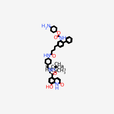 CC(C)(C)[Si](C)(C)O[C@H](CNCC1CCC(NC(=O)CCCc2ccc(-c3ccccc3)c(NC(=O)OC3CCC(N)CC3)c2)CC1)c1ccc(O)c2[nH]c(=O)ccc12